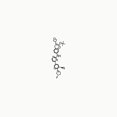 CC(C)(C)OC(=O)N(Cc1ccc(Nc2nccc(-c3cnc(N4CC[C@H](F)C4)c(C#N)c3)n2)cn1)C1COC1